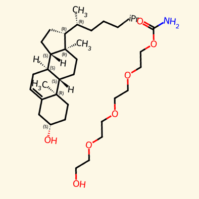 CC(C)CCC[C@@H](C)[C@H]1CC[C@H]2[C@@H]3CC=C4C[C@@H](O)CC[C@]4(C)[C@H]3CC[C@]12C.NC(=O)OCCOCCOCCOCCO